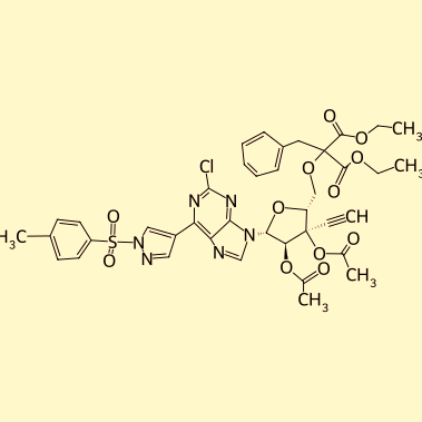 C#C[C@@]1(OC(C)=O)[C@@H](COC(Cc2ccccc2)(C(=O)OCC)C(=O)OCC)O[C@@H](n2cnc3c(-c4cnn(S(=O)(=O)c5ccc(C)cc5)c4)nc(Cl)nc32)[C@@H]1OC(C)=O